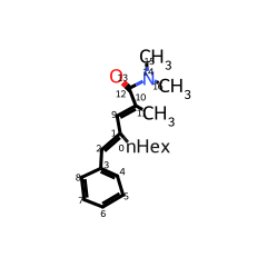 CCCCCCC(=C\c1ccccc1)/C=C(\C)C(=O)N(C)C